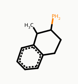 CC1c2ccccc2CCC1P